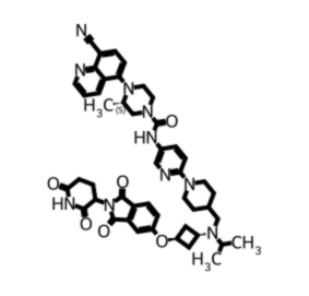 CC(C)N(CC1CCN(c2ccc(NC(=O)N3CCN(c4ccc(C#N)c5ncccc45)[C@@H](C)C3)cn2)CC1)[C@H]1C[C@H](Oc2ccc3c(c2)C(=O)N(C2CCC(=O)NC2=O)C3=O)C1